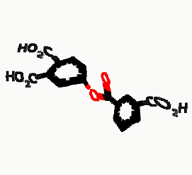 O=C(O)c1cccc(C(=O)Oc2ccc(C(=O)O)c(C(=O)O)c2)c1